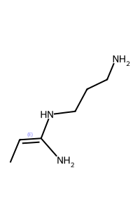 C/C=C(\N)NCCCN